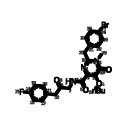 CCCCOc1c(C(=O)NCC(=O)Cc2ccc(F)cc2)nc(Cc2ccc(Br)cc2)n(C)c1=O